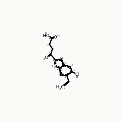 C=Cc1cc2sc(C(=O)CCC(=O)O)cc2cc1Cl